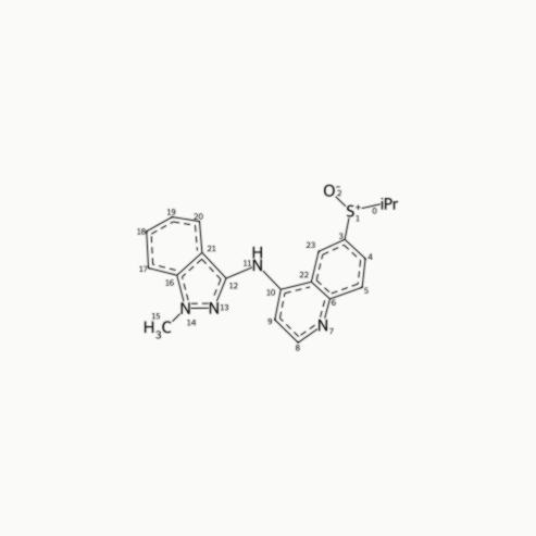 CC(C)[S+]([O-])c1ccc2nccc(Nc3nn(C)c4ccccc34)c2c1